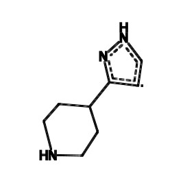 [c]1c[nH]nc1C1CCNCC1